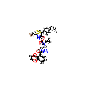 Cc1ccc(-c2sc(Br)nc2OC(=O)N(CCNC(=O)c2cccc3c2OCCO3)C2CC2)cc1